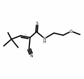 COCCNC(=S)/C(C#N)=C/C(C)(C)C